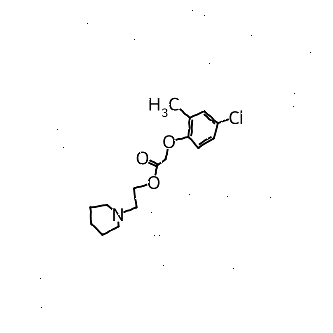 Cc1cc(Cl)ccc1OCC(=O)OCCN1CCCCC1